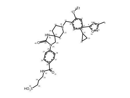 CCOc1cc(-c2nc(C)no2)c(C2CC2)cc1CN1CCC2(CC1)CN(c1ccc(C(=O)NCCCS(=O)(=O)O)cc1)C(=O)N2